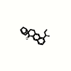 CCC(C)c1cccc2cc3c(cc12)CCC1(CC2=CCC1C2)C3=O